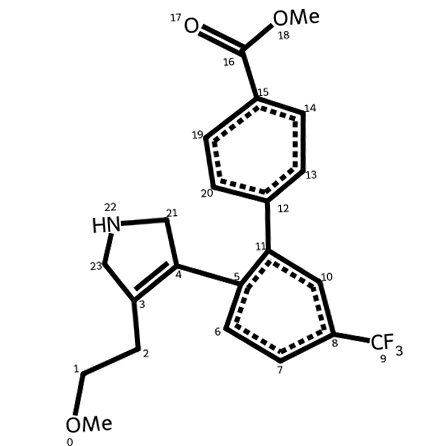 COCCC1=C(c2ccc(C(F)(F)F)cc2-c2ccc(C(=O)OC)cc2)CNC1